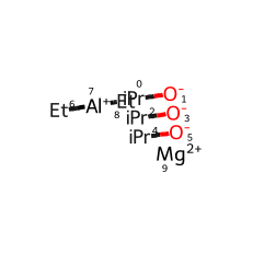 CC(C)[O-].CC(C)[O-].CC(C)[O-].C[CH2][Al+][CH2]C.[Mg+2]